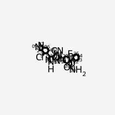 Cn1cc2c(Cl)c(-c3n[nH]c4nc(N5CCC(OC(N)=O)(c6ccccc6F)CC5)nc(C#N)c34)ccc2n1